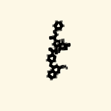 Cc1cc(Cc2ccc(C(=O)N[C@@H]3CN(C(=O)COc4ccccc4)C[C@]34NC(=O)NC4=O)cc2)c2ccccc2n1